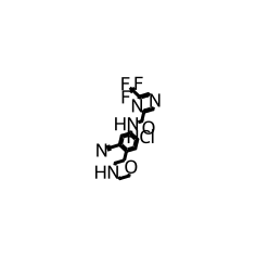 Cl.N#Cc1cc(NC(=O)c2cncc(C(F)(F)F)n2)ccc1C1CNCCO1